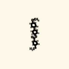 CCc1ccc(C(=O)Oc2ccc(-c3ccc(OC)cc3)cc2)cc1